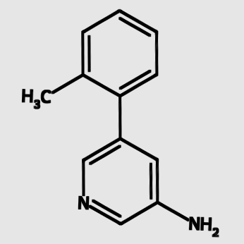 Cc1ccccc1-c1cncc(N)c1